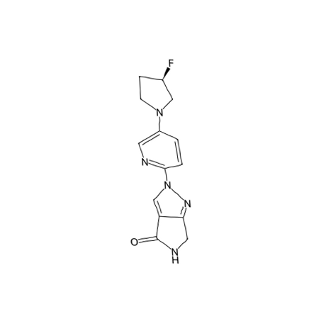 O=C1NCc2nn(-c3ccc(N4CC[C@@H](F)C4)cn3)cc21